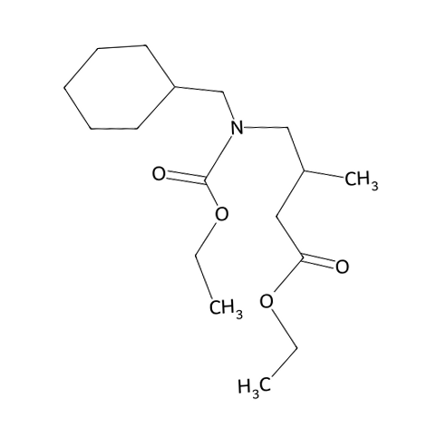 CCOC(=O)CC(C)CN(CC1CCCCC1)C(=O)OCC